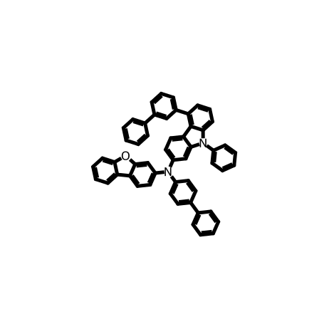 c1ccc(-c2ccc(N(c3ccc4c(c3)oc3ccccc34)c3ccc4c5c(-c6cccc(-c7ccccc7)c6)cccc5n(-c5ccccc5)c4c3)cc2)cc1